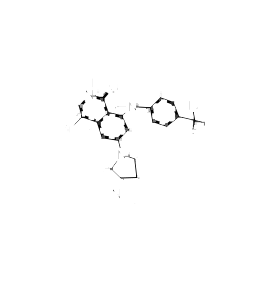 N[C@H]1CCN(c2cc(Nc3ccc(C(F)(F)F)cc3)c3c(=O)[nH]cc(Br)c3c2)C1